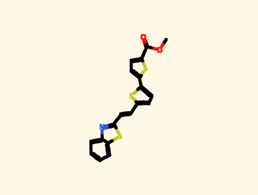 COC(=O)c1ccc(-c2ccc(/C=C/c3nc4ccccc4s3)s2)s1